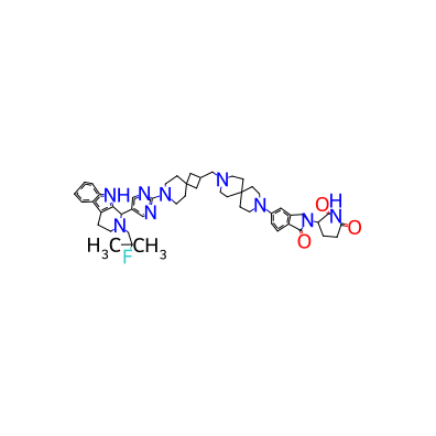 CC(C)(F)CN1CCc2c([nH]c3ccccc23)C1c1cnc(N2CCC3(CC2)CC(CN2CCC4(CC2)CCN(c2ccc5c(c2)CN(C2CCC(=O)NC2=O)C5=O)CC4)C3)nc1